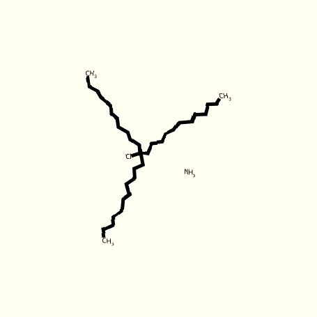 CCCCCCCCCCCCC(Cl)(CCCCCCCCCCC)CCCCCCCCCCC.N